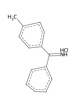 Cc1ccc(C(=N)c2ccccc2)cc1.Cl